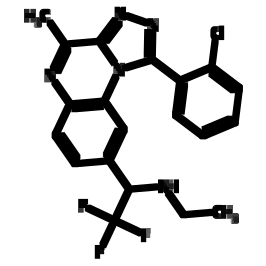 CCNC(c1ccc2nc(C)c3nnc(-c4ccccc4Cl)n3c2c1)C(F)(F)F